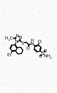 CCc1ccc(-n2c(C)nnc2SCC(=O)Nc2ccc(S(N)(=O)=O)cc2Cl)c2c1CCCC2